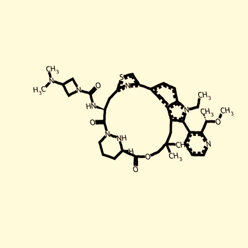 CCn1c(-c2cccnc2[C@H](C)OC)c2c3cc(ccc31)-c1csc(n1)C[C@H](NC(=O)N1CC(N(C)C)C1)C(=O)N1CCC[C@H](N1)C(=O)OCC(C)(C)C2